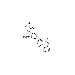 CCNC(=O)Nc1ccc(-c2cncc(NC(C)c3ccccc3)n2)cc1OC